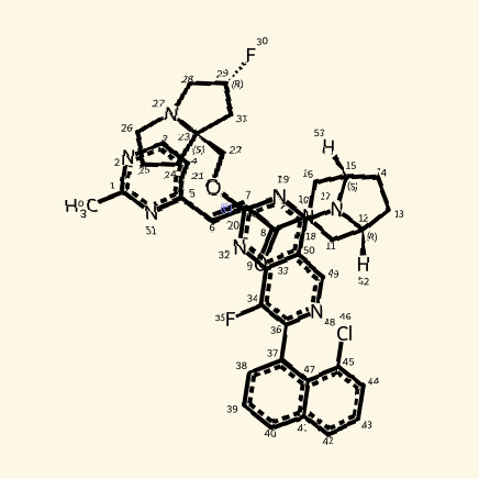 Cc1nccc(/C=C/C(=O)N2C[C@H]3CC[C@@H](C2)N3c2nc(OC[C@@]34CCCN3C[C@H](F)C4)nc3c(F)c(-c4cccc5cccc(Cl)c45)ncc23)n1